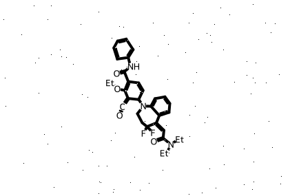 CCOC1=C(C(=O)Nc2ccccc2)C=CC(N2CCC(F)(F)C(=CC(=O)N(CC)CC)c3ccccc32)C1=C=O